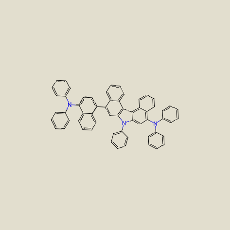 c1ccc(N(c2ccccc2)c2ccc(-c3cc4c(c5ccccc35)c3c5ccccc5c(N(c5ccccc5)c5ccccc5)cc3n4-c3ccccc3)c3ccccc23)cc1